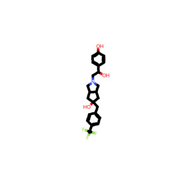 Oc1ccc(C(O)CN2CC3CC(O)(Cc4ccc(C(F)(F)F)cc4)CC3C2)cc1